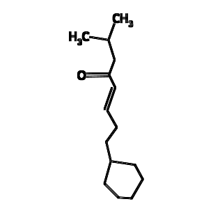 CC(C)CC(=O)C=CCCC1CCCCC1